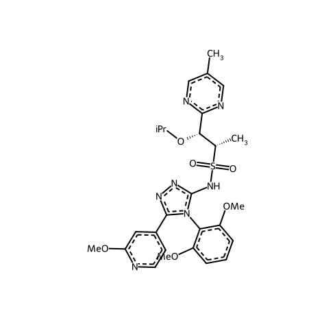 COc1cc(-c2nnc(NS(=O)(=O)[C@@H](C)[C@H](OC(C)C)c3ncc(C)cn3)n2-c2c(OC)cccc2OC)ccn1